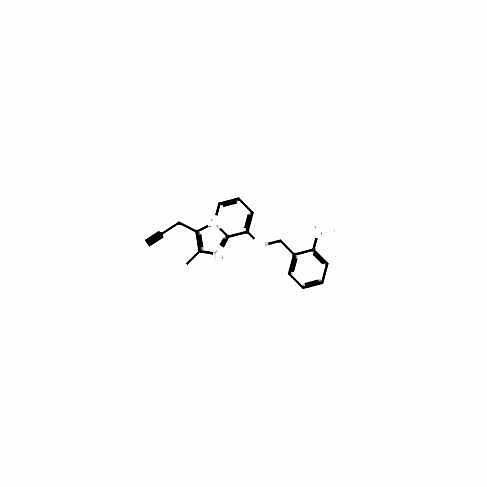 C#CCc1c(C)nc2c(OCc3ccccc3[N+](=O)[O-])cccn12